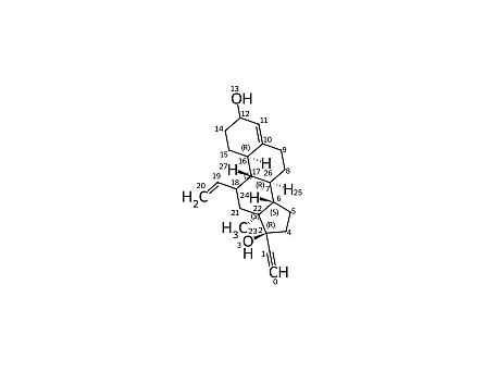 C#C[C@@]1(O)CC[C@H]2[C@@H]3CCC4=CC(O)CC[C@@H]4[C@H]3C(C=C)C[C@@]21C